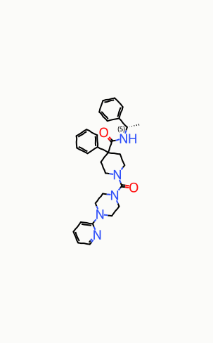 C[C@H](NC(=O)C1(c2ccccc2)CCN(C(=O)N2CCN(c3ccccn3)CC2)CC1)c1ccccc1